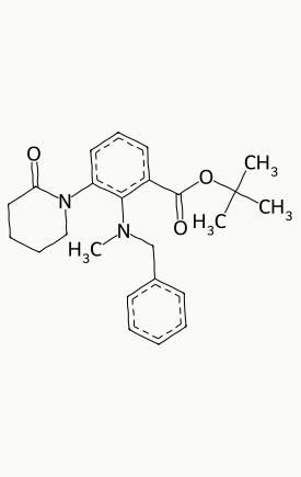 CN(Cc1ccccc1)c1c(C(=O)OC(C)(C)C)cccc1N1CCCCC1=O